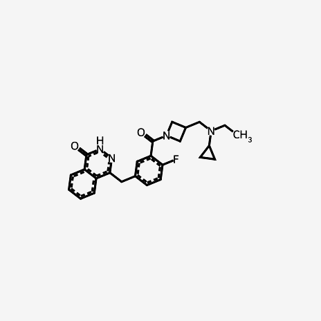 CCN(CC1CN(C(=O)c2cc(Cc3n[nH]c(=O)c4ccccc34)ccc2F)C1)C1CC1